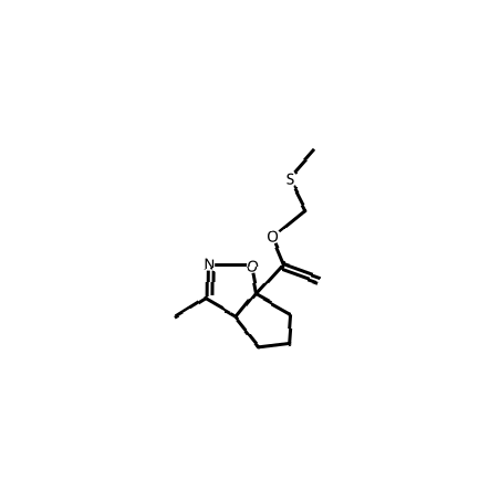 C=C(OCSC)C12CCCC1C(C)=NO2